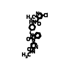 Cc1nc2ncc(-n3c(=O)n(C[C@H]4CC[C@H](NC(=O)c5cc(Cl)cnc5C)CC4)c4ccccc43)cc2o1